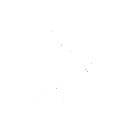 O=C(NO)c1ccc2c(c1)N(Cc1ccc(C(=O)N3CCCCC3)cc1)C(=O)CO2